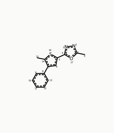 Cc1nnc(-c2cc(-c3ccccc3)c(C)s2)o1